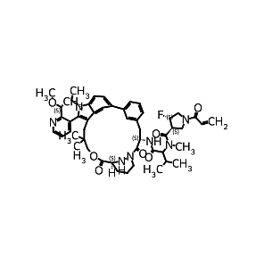 C=CC(=O)N1C[C@@H](F)[C@H](C(=O)N(C)C(C(=O)N[C@H]2Cc3cccc(c3)-c3ccc4c(c3)c(c(-c3cccnc3[C@H](C)OC)n4CC)CC(C)(C)COC(=O)[C@@H]3CCCN(N3)C2=O)C(C)C)C1